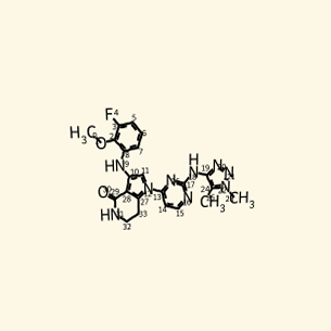 COc1c(F)cccc1Nc1cn(-c2ccnc(Nc3nnn(C)c3C)n2)c2c1C(=O)NCC2